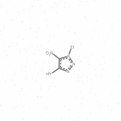 CCCc1nnn(CC)c1[N+](=O)[O-]